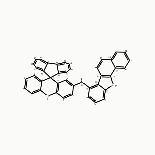 c1ccc2c(c1)Oc1ccc(Nc3cccc4oc5c6ccccc6ccc5c34)cc1C21c2ccccc2-c2ccccc21